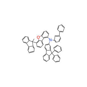 CC1(c2cccc3c2oc2cccc(N(c4cccc(-c5ccccc5)c4)c4ccc5c(c4)C(c4ccccc4)(c4ccccc4)c4ccccc4-5)c23)c2ccccc2-c2ccccc21